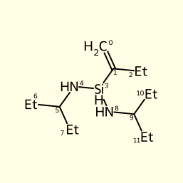 C=C(CC)[SiH](NC(CC)CC)NC(CC)CC